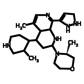 CC1=CN=C(C2=CCNN2)C2NC(N3CCOC[C@H]3C)CC(C3CCNCC3C)C12